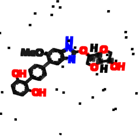 COc1cc2[nH]c(O[C@@H]3CO[C@H]4[C@@H]3OC[C@H]4O)nc2cc1-c1ccc(-c2c(O)cccc2O)cc1